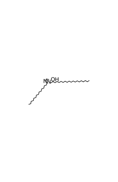 CCCCCCCCCCCCCCCCCCC(O)CN1CCN=C1CCCCCCCCCCCCCC